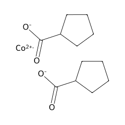 O=C([O-])C1CCCC1.O=C([O-])C1CCCC1.[Co+2]